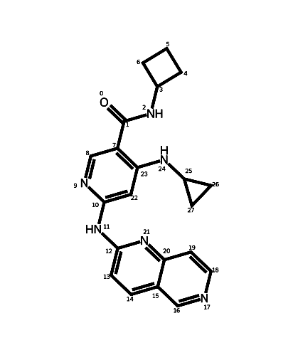 O=C(NC1CCC1)c1cnc(Nc2ccc3cnccc3n2)cc1NC1CC1